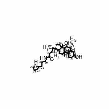 CC[C@H]1[C@@H](O)[C@@H]2[C@H](CC[C@]3(C)[C@@H]([C@H](C)CCC(=O)NCCCC4CCCN4)CC[C@@H]23)[C@@]2(C)CC[C@@H](O)C[C@@H]12